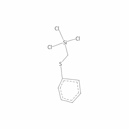 Cl[Si](Cl)(Cl)CSc1ccccc1